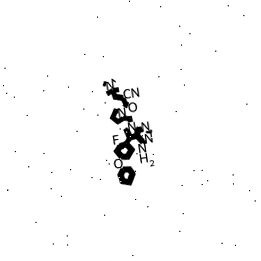 CN(C)C(C)(C)C=C(C#N)C(=O)N1CCCC1Cn1cc(-c2ccc(Oc3ccccc3)cc2F)c2c(N)ncnc21